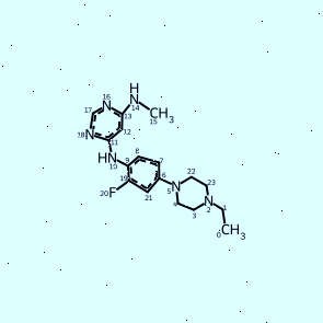 CCN1CCN(c2ccc(Nc3cc(NC)ncn3)c(F)c2)CC1